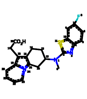 CN(c1nc2ccc(F)cc2s1)C1CCc2c(CC(=O)O)c3ccccn3c2C1